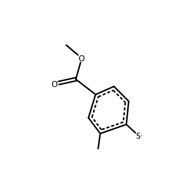 COC(=O)c1ccc([S])c(C)c1